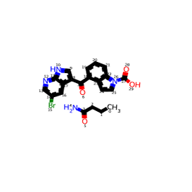 CCCC(N)=O.O=C(c1c[nH]c2ncc(Br)cc12)c1cccc2c1ccn2C(=O)O